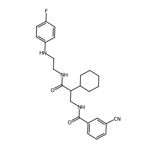 N#Cc1cccc(C(=O)NCC(C(=O)NCCNc2ccc(F)cc2)C2CCCCC2)c1